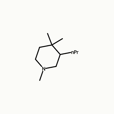 CCCC1CN(C)CCC1(C)C